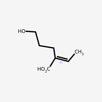 C/C=C(\CCCO)C(=O)O